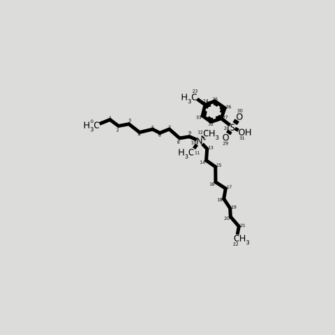 CCCCCCCCCC[N+](C)(C)CCCCCCCCCC.Cc1ccc(S(=O)(=O)O)cc1